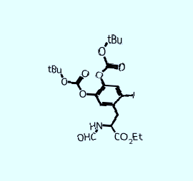 CCOC(=O)[C@H](Cc1cc(OC(=O)OC(C)(C)C)c(OC(=O)OC(C)(C)C)cc1I)NC=O